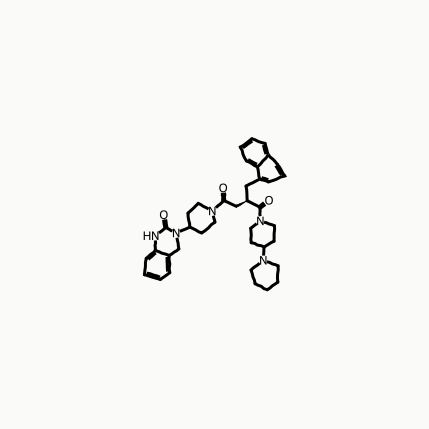 O=C(C[C@@H](Cc1cccc2ccccc12)C(=O)N1CCC(N2CCCCC2)CC1)N1CCC(N2Cc3ccccc3NC2=O)CC1